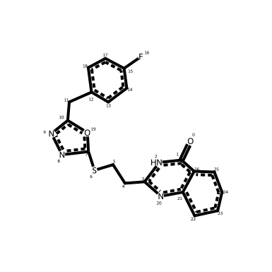 O=c1[nH]c(CCSc2nnc(Cc3ccc(F)cc3)o2)nc2ccccc12